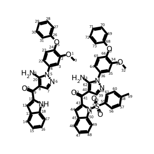 COc1cc(-n2ncc(C(=O)c3cc4ccccc4[nH]3)c2N)ccc1Oc1ccccc1.COc1cc(-n2ncc(C(=O)c3cc4ccccc4n3S(=O)(=O)c3ccc(C)cc3)c2N)ccc1Oc1ccccc1